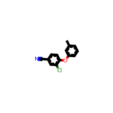 Cc1cccc(Oc2ccc(C#N)cc2Cl)c1